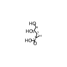 O=C(O)[C@@H]1C[C@H]1[C@H](O)CO